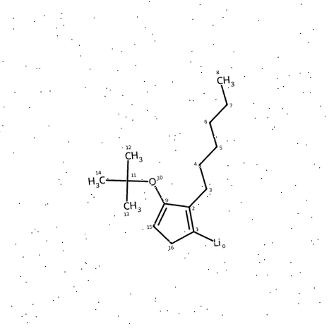 [Li][C]1=C(CCCCCC)C(OC(C)(C)C)=CC1